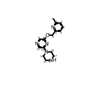 Cc1cccc(COc2cncc(N3CCNCC3)n2)n1